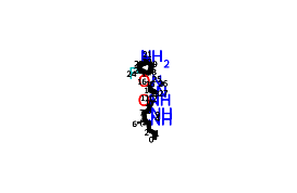 CCCC(=N)[C@@H](C)CC(=N)C(=O)Nc1cc(Oc2ccc(N)cc2F)ncn1